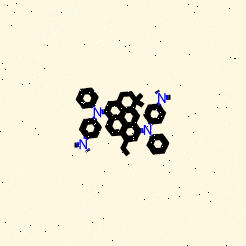 CCc1cc(N(c2ccccc2)c2ccc(N(C)C)cc2)c2cc3c4c(cc(N(c5ccccc5)c5ccc(N(C)C)cc5)c5ccc1c2c54)CCC3(C)C